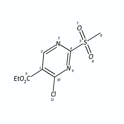 CCOC(=O)c1cnc(S(C)(=O)=O)nc1Cl